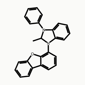 CC1N(c2ccccc2)c2ccccc2N1c1cccc2c1oc1ccccc12